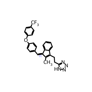 CC1=C(CCc2nnn[nH]2)c2ccccc2/C1=C\c1ccc(Oc2ccc(C(F)(F)F)cc2)cc1